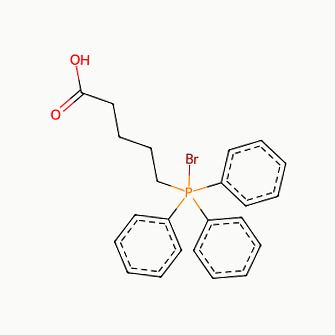 O=C(O)CCCCP(Br)(c1ccccc1)(c1ccccc1)c1ccccc1